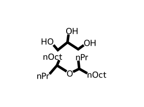 CCCCCCCCC(CCC)OC(CCC)CCCCCCCC.OCC(O)CO